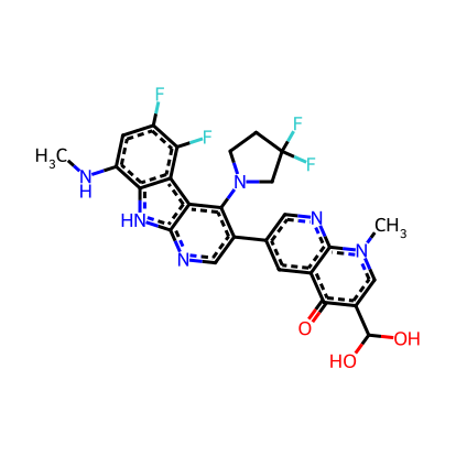 CNc1cc(F)c(F)c2c1[nH]c1ncc(-c3cnc4c(c3)c(=O)c(C(O)O)cn4C)c(N3CCC(F)(F)C3)c12